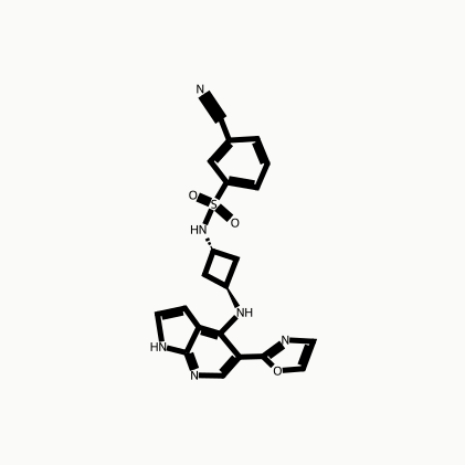 N#Cc1cccc(S(=O)(=O)N[C@H]2C[C@H](Nc3c(-c4ncco4)cnc4[nH]ccc34)C2)c1